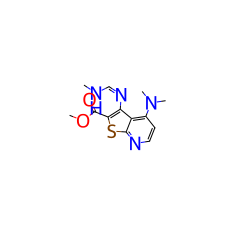 CN/C=N\c1c(C(=O)OC)sc2nccc(N(C)C)c12